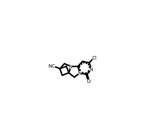 N#CC12CN3c4cc(Cl)nc(=O)n4CC3(C1)C2